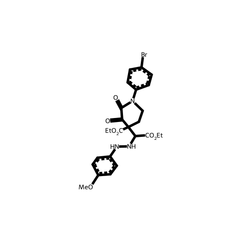 CCOC(=O)C(NNc1ccc(OC)cc1)C1(C(=O)OCC)CCN(c2ccc(Br)cc2)C(=O)C1=O